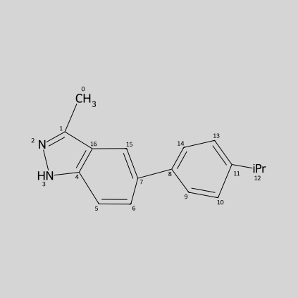 Cc1n[nH]c2ccc(-c3ccc(C(C)C)cc3)cc12